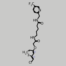 C=C/C(=C\C(F)=C\Cl)OCC(=O)NCCCCC(=O)NCc1ccc(C(F)(F)F)cn1